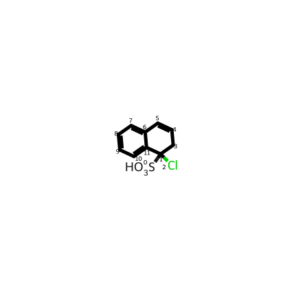 O=S(=O)(O)C1(Cl)CC=Cc2ccccc21